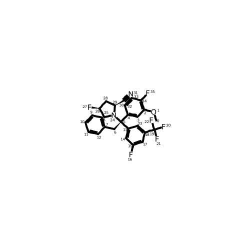 COc1cc([C@](Cc2ccccc2)(c2cc(F)cc(C(F)(F)F)c2)N2C[C@@H](F)C[C@H]2C#N)ccc1F